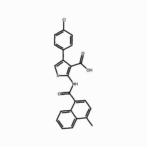 Cc1ccc(C(=O)Nc2scc(-c3ccc(Cl)cc3)c2C(=O)O)c2ccccc12